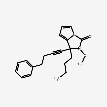 CCCCC1(C#CCCc2ccccc2)c2cccn2C(=O)N1OC